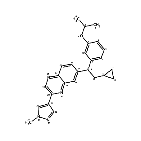 CC(C)Oc1cccc(N(CC2CC2)c2ccc3ncc(-c4cnn(C)c4)nc3c2)c1